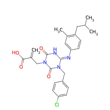 C=C(Cn1c(=O)[nH]/c(=N\c2ccc(CC(C)C)c(C)c2)n(Cc2ccc(Cl)cc2)c1=O)C(=O)O